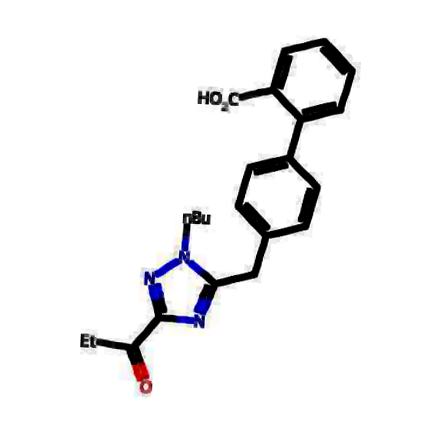 CCCCn1nc(C(=O)CC)nc1Cc1ccc(-c2ccccc2C(=O)O)cc1